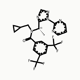 C[C@@H](c1ncnn1-c1ncccn1)N(CC1CC1)C(=O)c1cc(C(F)(F)F)cc(C(F)(F)F)c1